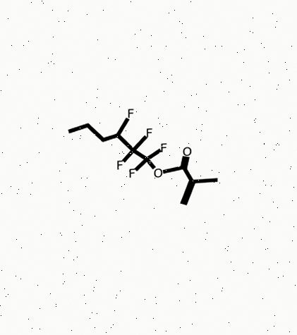 C=C(C)C(=O)OC(F)(F)C(F)(F)C(F)CCC